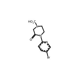 O=C(O)N1CCN(c2ccc(Br)cn2)C(=O)C1